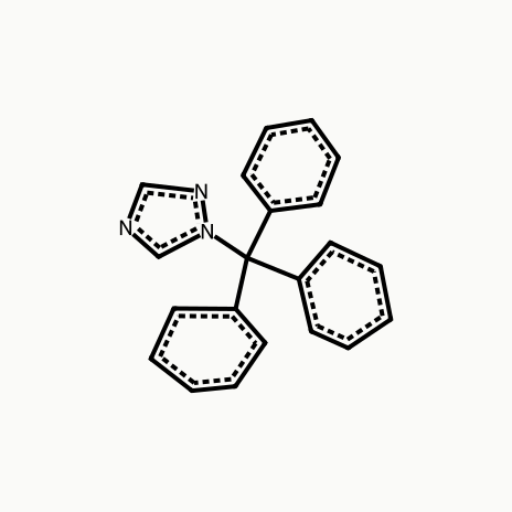 c1ccc(C(c2ccccc2)(c2ccccc2)n2cncn2)cc1